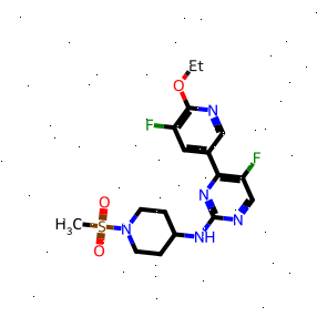 CCOc1ncc(-c2nc(NC3CCN(S(C)(=O)=O)CC3)ncc2F)cc1F